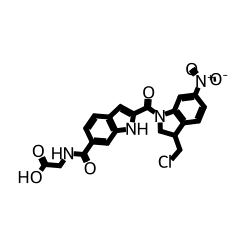 O=C(O)CNC(=O)c1ccc2cc(C(=O)N3CC(CCl)c4ccc([N+](=O)[O-])cc43)[nH]c2c1